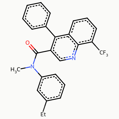 CCc1cccc(N(C)C(=O)c2cnc3c(C(F)(F)F)cccc3c2-c2ccccc2)c1